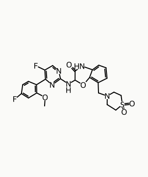 COc1cc(F)ccc1-c1nc(NC2Oc3c(CN4CCS(=O)(=O)CC4)cccc3NC2=O)ncc1F